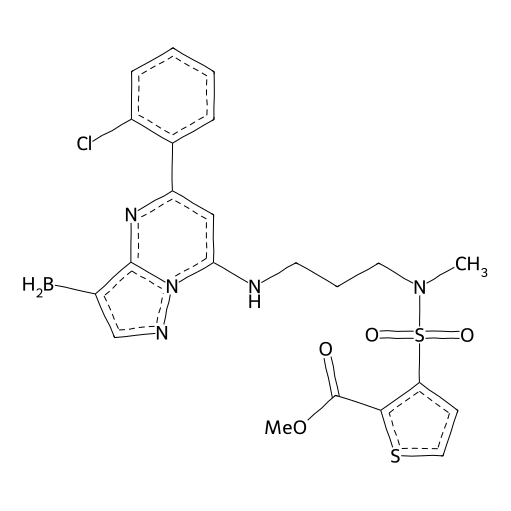 Bc1cnn2c(NCCCN(C)S(=O)(=O)c3ccsc3C(=O)OC)cc(-c3ccccc3Cl)nc12